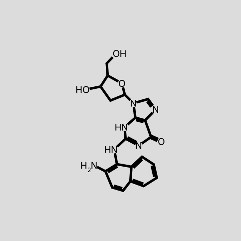 Nc1ccc2ccccc2c1Nc1nc(=O)c2ncn(C3CC(O)C(CO)O3)c2[nH]1